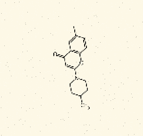 Cc1ccc2oc(N3CCC(C(F)(F)F)CC3)cc(=O)c2c1